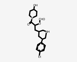 CCc1ccc(C2CNCC(CC(OC=O)C(=O)N3CCC(O)CC3)C2)cc1